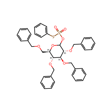 O=S(=O)(OC1O[C@H](COCc2ccccc2)[C@@H](OCc2ccccc2)[C@H](OCc2ccccc2)[C@H]1OCc1ccccc1)Sc1ccccc1